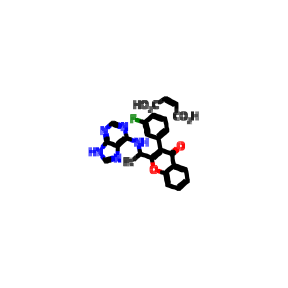 CCC(Nc1ncnc2[nH]cnc12)c1oc2ccccc2c(=O)c1-c1cccc(F)c1.O=C(O)/C=C\C(=O)O